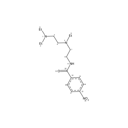 CCN(CC)CCN(CC)CCNC(=O)c1ccc([N+](=O)[O-])cc1